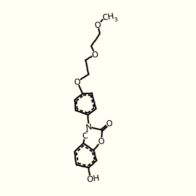 COCCOCCOc1ccc(N2Cc3ccc(O)cc3OC2=O)cc1